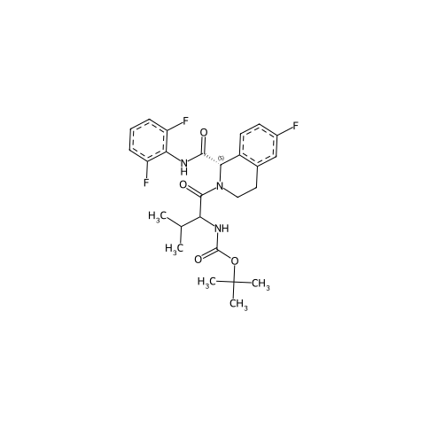 CC(C)C(NC(=O)OC(C)(C)C)C(=O)N1CCc2cc(F)ccc2[C@H]1C(=O)Nc1c(F)cccc1F